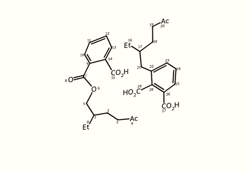 CCC(CCC(C)=O)COC(=O)c1ccccc1C(=O)O.CCC(CCC(C)=O)Cc1cccc(C(=O)O)c1C(=O)O